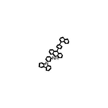 c1cc(Nc2c3ccccc3c(-c3ccc(-c4cccc5ccccc45)cc3)c3ccccc23)cc(-n2c3ccccc3c3ccccc32)c1